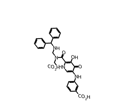 O=C(O)CN(CNC(c1ccccc1)c1ccccc1)C(=O)c1[nH]cc(Nc2cccc(C(=O)O)c2)c(=O)c1O